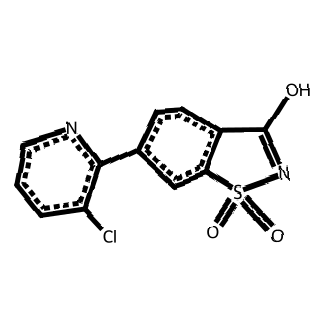 O=S1(=O)N=C(O)c2ccc(-c3ncccc3Cl)cc21